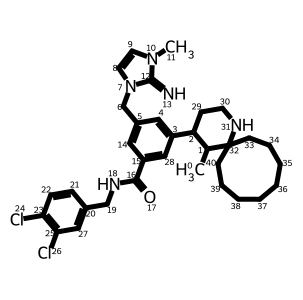 CC1C(c2cc(Cn3ccn(C)c3=N)cc(C(=O)NCc3ccc(Cl)c(Cl)c3)c2)CCNC12CCCCCCCC2